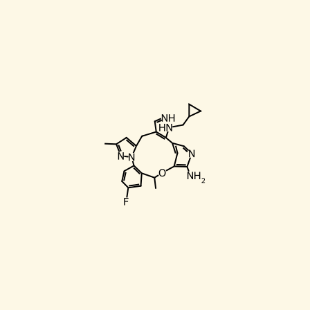 Cc1cc2n(n1)-c1ccc(F)cc1C(C)Oc1cc(cnc1N)/C(NCC1CC1)=C(/C=N)C2